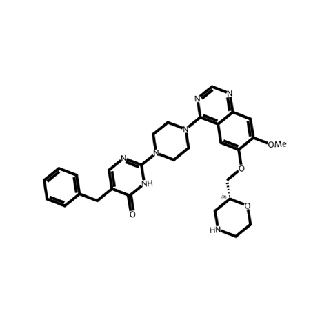 COc1cc2ncnc(N3CCN(c4ncc(Cc5ccccc5)c(=O)[nH]4)CC3)c2cc1OC[C@H]1CNCCO1